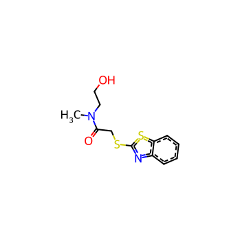 CN(CCO)C(=O)CSc1nc2ccccc2s1